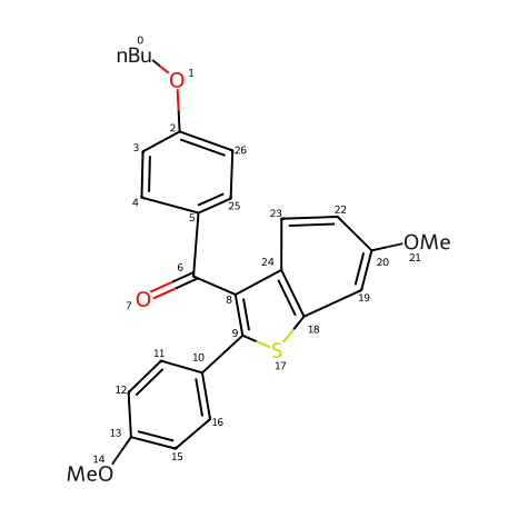 CCCCOc1ccc(C(=O)c2c(-c3ccc(OC)cc3)sc3cc(OC)ccc23)cc1